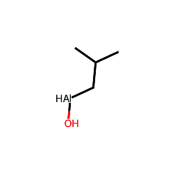 CC(C)[CH2][AlH][OH]